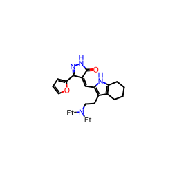 CCN(CC)CCc1c(C=C2C(=O)NN=C2c2ccco2)[nH]c2c1CCCC2